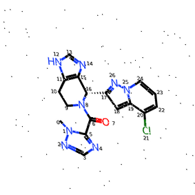 Cn1ncnc1C(=O)N1CCc2[nH]cnc2[C@@H]1c1cc2c(Cl)cccn2n1